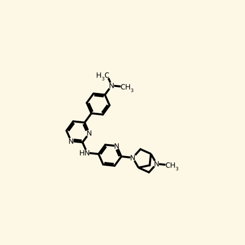 CN(C)c1ccc(-c2ccnc(Nc3ccc(N4CC5CC4CN5C)nc3)n2)cc1